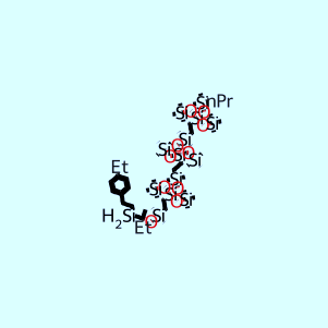 CCC[Si](C)(C)O[Si](CC[Si](C)(C)O[Si](CC[Si](C)(C)O[Si](CC[Si](C)(C)OC(C)(CC)[SiH2]CCc1ccc(CC)cc1)(O[Si](C)(C)C)O[Si](C)(C)C)(O[Si](C)(C)C)O[Si](C)(C)C)(O[Si](C)(C)C)O[Si](C)(C)C